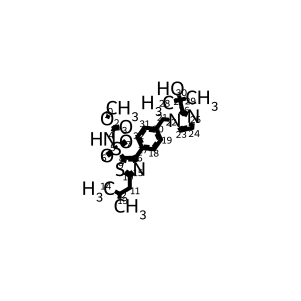 COC(=O)NS(=O)(=O)c1sc(CC(C)C)nc1-c1ccc(Cn2ccnc2C(C)(C)O)cc1